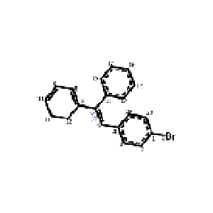 Brc1ccc(/C=C(/C2=CC=CCC2)c2ccccc2)cc1